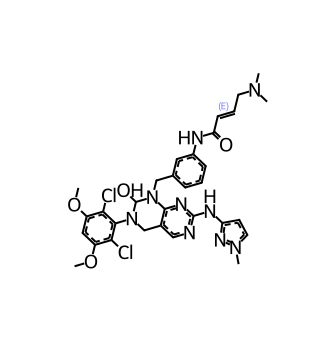 COc1cc(OC)c(Cl)c(N2Cc3cnc(Nc4ccn(C)n4)nc3N(Cc3cccc(NC(=O)/C=C/CN(C)C)c3)C2O)c1Cl